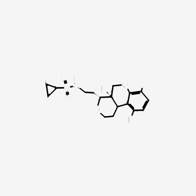 O=S(=O)(NCC[C@@H]1OCCC2c3c(F)ccc(F)c3OC[C@H]21)C1CC1